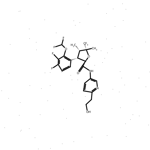 C[C@H]1[C@@H](c2ccc(F)c(F)c2OC(F)F)[C@H](C(=O)Nc2ccc(CCO)nc2)O[C@@]1(C)C(F)(F)F